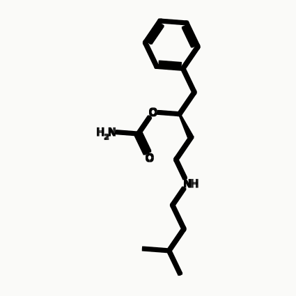 CC(C)CCNCC[C@H](Cc1ccccc1)OC(N)=O